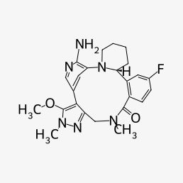 COc1c2c(nn1C)CN(C)C(=O)c1ccc(F)cc1[C@H]1CCCCN1c1cc-2cnc1N